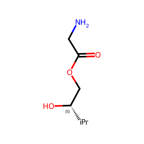 CC(C)[C@H](O)COC(=O)CN